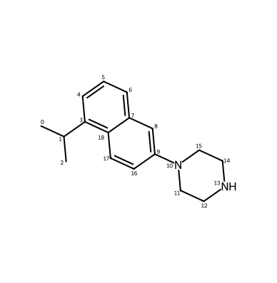 CC(C)c1cccc2cc(N3CCNCC3)ccc12